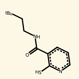 CC(C)(C)CCNC(=O)c1cccnc1S